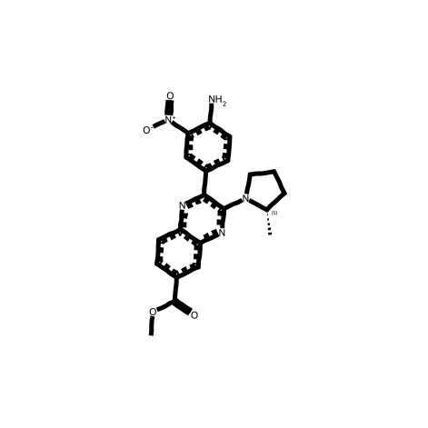 COC(=O)c1ccc2nc(-c3ccc(N)c([N+](=O)[O-])c3)c(N3CCC[C@@H]3C)nc2c1